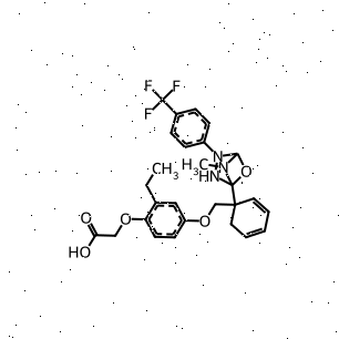 CCc1cc(OCC2(C34NN(c5ccc(C(F)(F)F)cc5)C(O3)N4C)C=CC=CC2)ccc1OCC(=O)O